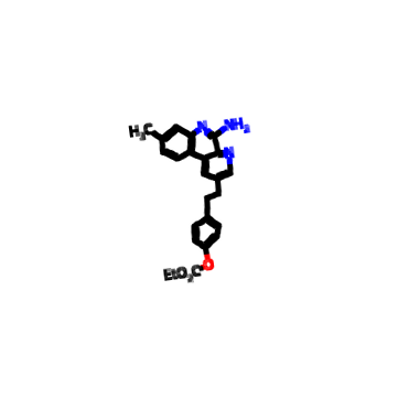 CCOC(=O)Oc1ccc(CCc2cnc3c(N)nc4cc(C)ccc4c3c2)cc1